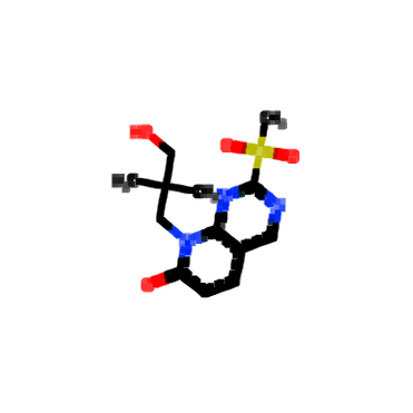 CC(C)(CO)Cn1c(=O)ccc2cnc(S(C)(=O)=O)nc21